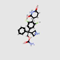 NC(=O)OC[C@@](c1ccccc1)(c1cc(F)c([C@@H]2CCC(=O)NC2=O)c(F)c1)C1CNC1